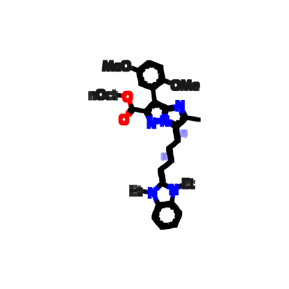 CCCCCCCCOC(=O)c1nn2/c(=C\C=C\C=C3N(CC)c4ccccc4N3CC)c(C)nc2c1-c1cc(OC)ccc1OC